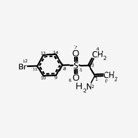 C=C(N)C(=C)S(=O)(=O)c1ccc(Br)cc1